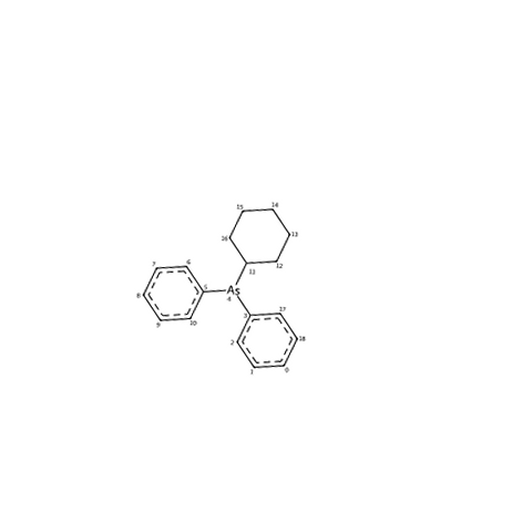 c1ccc([As](c2ccccc2)C2CCCCC2)cc1